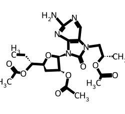 CC[C@@H](OC(C)=O)[C@@H]1C[C@@H](OC(C)=O)[C@H](n2c(=O)n(C[C@H](C)OC(C)=O)c3cnc(N)nc32)O1